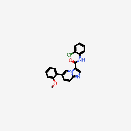 COc1ccccc1-c1ccc2ncc(C(=O)Nc3ccccc3Cl)n2c1